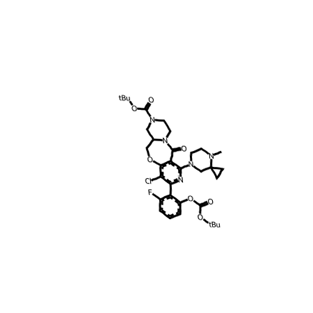 CN1CCN(c2nc(-c3c(F)cccc3OC(=O)OC(C)(C)C)c(Cl)c3c2C(=O)N2CCN(C(=O)OC(C)(C)C)CC2CO3)CC12CC2